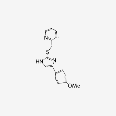 COc1ccc(-c2c[nH]c(SCc3[c]cccn3)n2)cc1